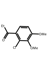 CCC(=O)c1ccc(OC)c(OC)c1Cl